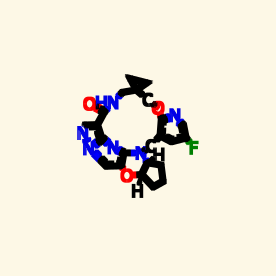 O=C1NCC2(CC2)COc2ncc(F)cc2CN2c3nc4c1cnn4cc3O[C@H]1CCC[C@H]12